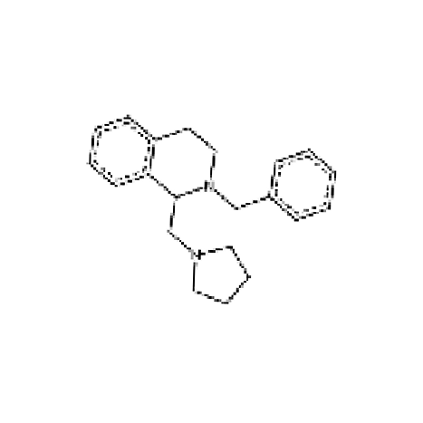 c1ccc(CN2CCc3ccccc3C2CN2CCCC2)cc1